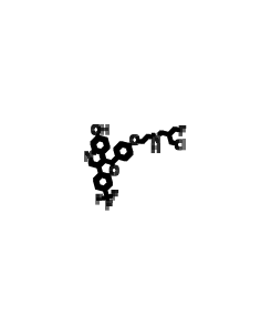 Oc1ccc2c3c(cnc2c1)-c1ccc(C(F)(F)F)cc1OC3c1ccc(OCCNCC(CF)CCl)cc1